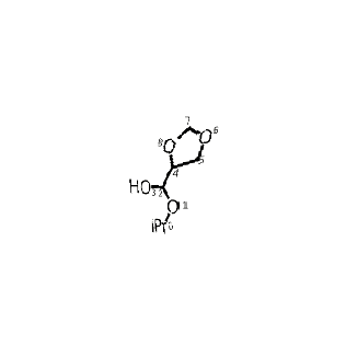 CC(C)OC(O)C1COCO1